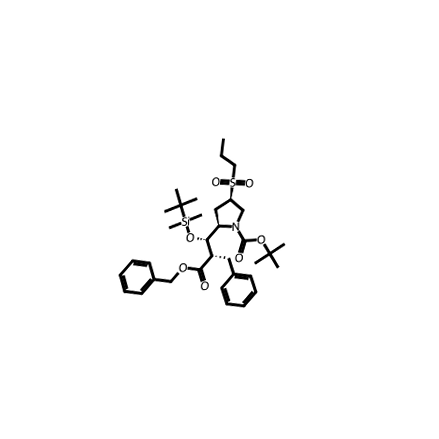 CCCS(=O)(=O)[C@@H]1C[C@H]([C@@H](O[Si](C)(C)C(C)(C)C)[C@H](Cc2ccccc2)C(=O)OCc2ccccc2)N(C(=O)OC(C)(C)C)C1